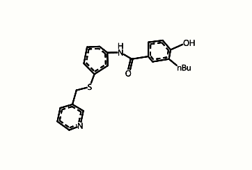 CCCCc1cc(C(=O)Nc2cccc(SCc3cccnc3)c2)ccc1O